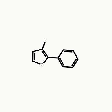 Fc1ccoc1-c1ccccc1